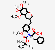 COc1ccc(CC2COc3cc(OC)c(OC)c(OC)c3C2)cc1N(C(=O)OC(C)(C)C)[C@@H](Cc1ccccc1)C(=O)O